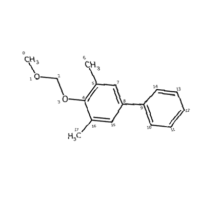 COCOc1c(C)cc(-c2ccccc2)cc1C